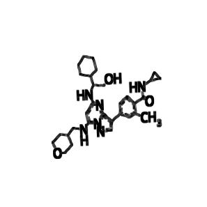 Cc1cc(-c2cnn3c(NCC4CCOCC4)cc(NC(CO)C4CCCCC4)nc23)ccc1C(=O)NC1CC1